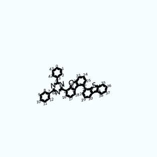 c1ccc(-c2nc(-c3ccccc3)nc(-c3cccc4c3oc3cccc(-c5cccc6c5sc5ccccc56)c34)n2)cc1